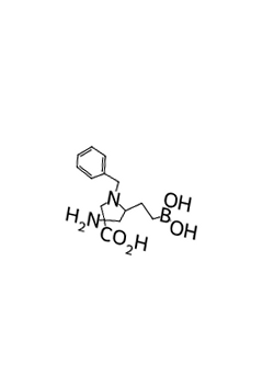 NC1(C(=O)O)CC(CCB(O)O)N(Cc2ccccc2)C1